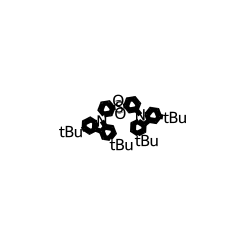 CC(C)(C)c1ccc2c(c1)c1cc(C(C)(C)C)ccc1n2-c1cccc(S(=O)(=O)c2cccc(-n3c4ccc(C(C)(C)C)cc4c4cc(C(C)(C)C)ccc43)c2)c1